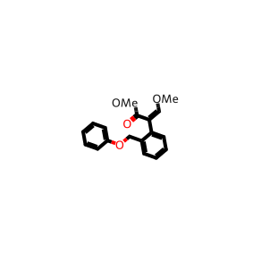 COC=C(C(=O)OC)c1ccccc1COc1ccccc1